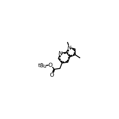 Cc1cn(C)c2ncc(CC(=O)OC(C)(C)C)cc12